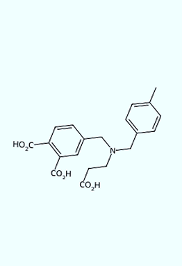 Cc1ccc(CN(CCC(=O)O)Cc2ccc(C(=O)O)c(C(=O)O)c2)cc1